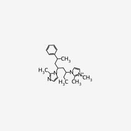 CCC(CC(CC(C)c1ccccc1)n1ccnc1C)n1cc[n+](C)c1C